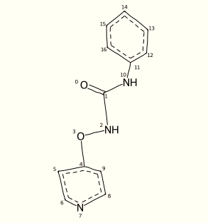 O=C(NOc1ccncc1)Nc1ccccc1